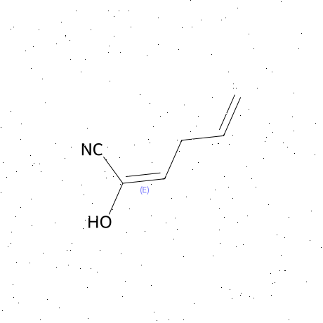 C=CC/C=C(/O)C#N